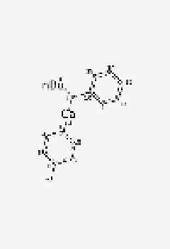 CCCC[CH]([Ca][c]1ccc(C)cc1)c1ccccc1